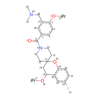 CC(C)Oc1ccc(C(=O)N2CCC3(CC2)CC(OC(C)C)c2cc(F)ccc2O3)cc1CN(C)C